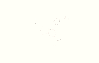 CC(=O)c1cc(NC2CCC(F)(F)CC2)nc(-c2ccc(C)o2)n1